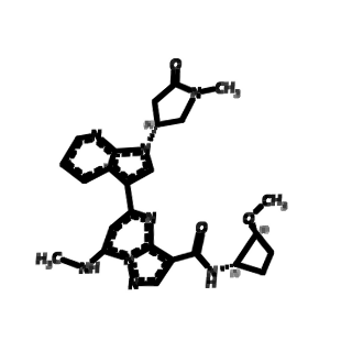 CNc1cc(-c2cn([C@@H]3CC(=O)N(C)C3)c3ncccc23)nc2c(C(=O)N[C@H]3CC[C@@H]3OC)cnn12